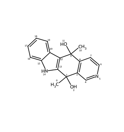 CC1(O)c2cnccc2C(C)(O)c2c1[nH]c1ccccc21